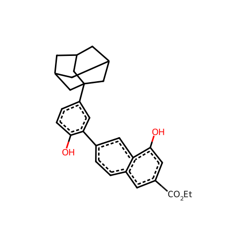 CCOC(=O)c1cc(O)c2cc(-c3cc(C45CC6CC(CC(C6)C4)C5)ccc3O)ccc2c1